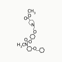 CCOC(=O)C1CCN(CCOc2ccc(OC(=O)N(C)c3cccc(OCc4ccccc4)c3)cc2)CC1